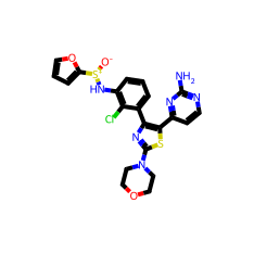 Nc1nccc(-c2sc(N3CCOCC3)nc2-c2cccc(N[S+]([O-])c3ccco3)c2Cl)n1